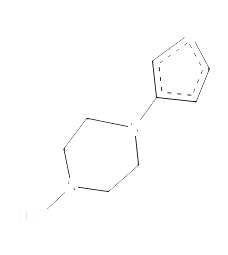 CN1CCN(c2[c]scc2)CC1